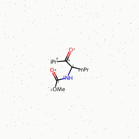 CCCC(NC(=O)OC)C(=O)C(C)C